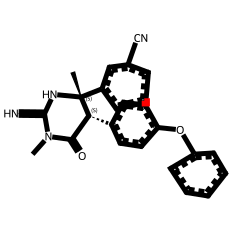 CN1C(=N)N[C@](C)(c2cccc(C#N)c2)[C@H](c2ccc(Oc3ccccc3)cc2)C1=O